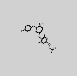 CC(=O)COc1cc(C)c(Cc2ccc(O)c(Cc3ccc(F)cc3)c2)c(C)c1